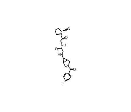 N#CC1CCCN1C(=O)CNC(=O)CNC1C2CN(C(=O)c3ccc(F)cc3)CC21